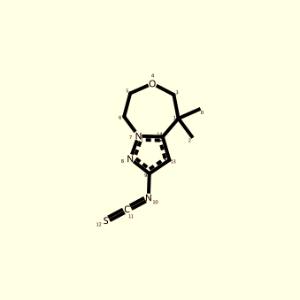 CC1(C)COCCn2nc(N=C=S)cc21